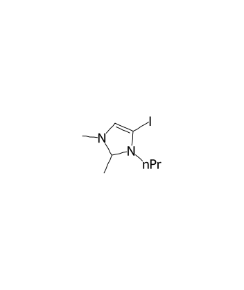 CCCN1C(I)=CN(C)C1C